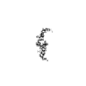 CO[C@H]1CC[C@@H](n2ccc(C(=O)NCc3nc(-c4cc5c(N[C@@H]6CCN(C)C[C@@H]6F)cccc5n4CC(F)(F)F)no3)c2)C1